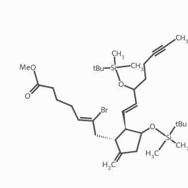 C=C1CC(O[Si](C)(C)C(C)(C)C)[C@H](/C=C/C(CCC#CC)O[Si](C)(C)C(C)(C)C)[C@H]1C/C(Br)=C/CCCC(=O)OC